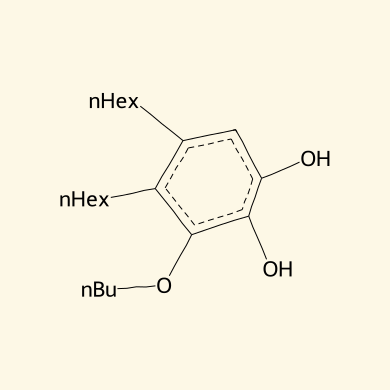 CCCCCCc1cc(O)c(O)c(OCCCC)c1CCCCCC